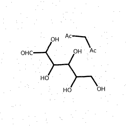 CC(=O)CC(C)=O.O=CC(O)C(O)C(O)C(O)CO